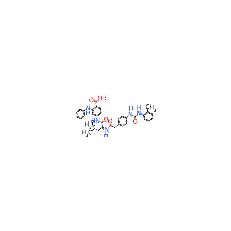 Cc1ccccc1NC(=O)Nc1ccc(CC(=O)N[C@@H](CC(C)C)C(=O)Nc2ccc(C(=O)O)c(Nc3ccccc3)c2)cc1